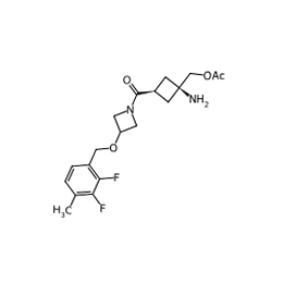 CC(=O)OC[C@]1(N)C[C@@H](C(=O)N2CC(OCc3ccc(C)c(F)c3F)C2)C1